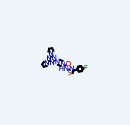 O=C(Nc1nc(-c2ccc(F)cc2)cs1)N1CCN(c2nc(N3CCCC3)nc(N3CCCC3)n2)CC1